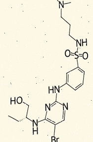 CC[C@H](CO)Nc1nc(Nc2cccc(S(=O)(=O)NCCCN(C)C)c2)ncc1Br